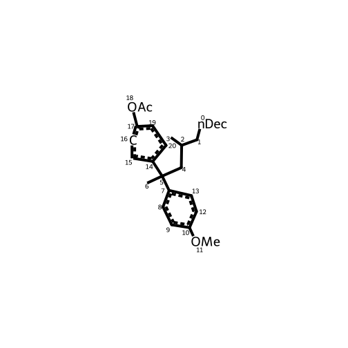 CCCCCCCCCCCC(C)CC(C)(c1ccc(OC)cc1)c1ccc(OC(C)=O)cc1